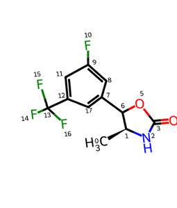 C[C@@H]1NC(=O)OC1c1cc(F)cc(C(F)(F)F)c1